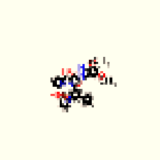 COc1cc(CNC[C@H](O)[C@H](Cc2ccccc2)NC(=O)c2cc(C3CCCC3)cc(N3CCCCS3(O)O)c2)cc(OC)c1